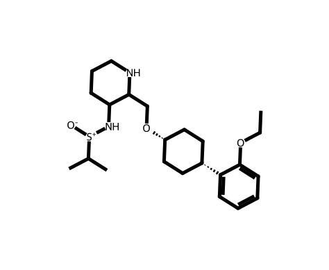 CCOc1ccccc1[C@H]1CC[C@@H](OCC2NCCCC2N[S+]([O-])C(C)C)CC1